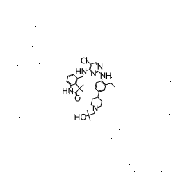 CCc1cc(C2CCN(CC(C)(C)O)CC2)ccc1Nc1ncc(Cl)c(NCc2cccc3c2C(C)(C)C(=O)N3)n1